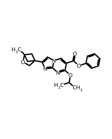 CC(C)Oc1nc2nc(C34COC(C)(C3)C4)cn2cc1C(=O)Oc1ccccc1